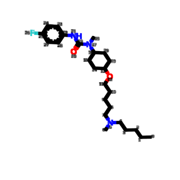 CCCCCN(C)CCCCCOC1CCC(N(C)C(=O)Nc2ccc(F)cc2)CC1